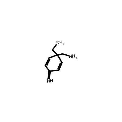 N=C1C=CC(CN)(CN)C=C1